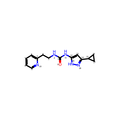 O=C(NCCc1ccccn1)Nc1cc(C2CC2)n[nH]1